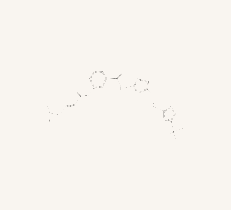 CN(C)CC=CC(=O)Nc1cccc(C(=O)Nc2ncc(SCc3ncc(C(C)(C)C)o3)s2)c1